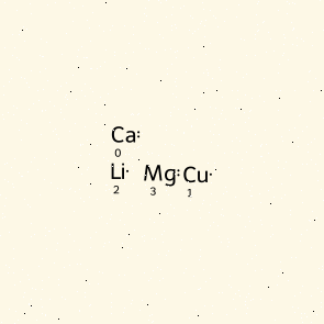 [Ca].[Cu].[Li].[Mg]